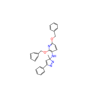 CC1(Nc2ccc(OCc3ccccc3)nc2OCc2ccccc2)C=C(c2ccccc2)N=N1